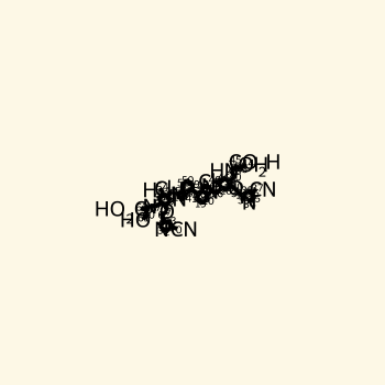 N#Cc1cncc(COc2cc(Cn3ncc4c(-c5cccc6c5cnn6Cc5cc(OCc6cncc(C#N)c6)c(CN[C@@H](CO)C(=O)O)cc5Cl)cccc43)c(Cl)cc2CNC(CO)C(=O)O)c1